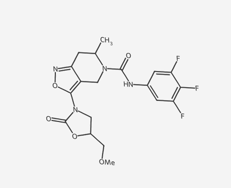 COCC1CN(c2onc3c2CN(C(=O)Nc2cc(F)c(F)c(F)c2)C(C)C3)C(=O)O1